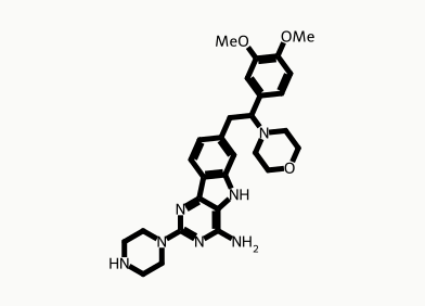 COc1ccc(C(Cc2ccc3c(c2)[nH]c2c(N)nc(N4CCNCC4)nc23)N2CCOCC2)cc1OC